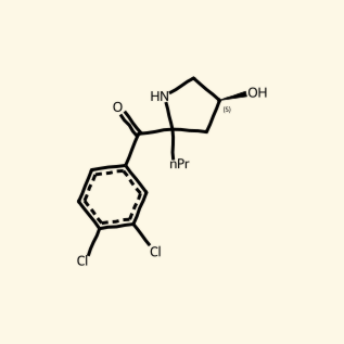 CCCC1(C(=O)c2ccc(Cl)c(Cl)c2)C[C@H](O)CN1